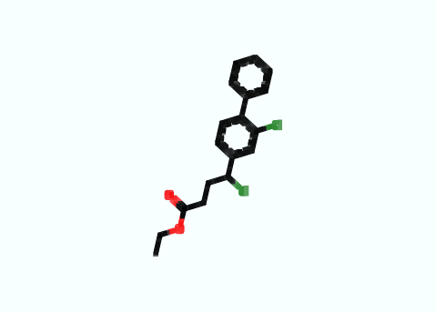 CCOC(=O)CCC(Cl)c1ccc(-c2ccccc2)c(Cl)c1